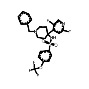 O=S(=O)(NC1(c2cc(F)ncc2F)CCN(Cc2ccccc2)CC1)c1ccc(OC(F)(F)F)cc1